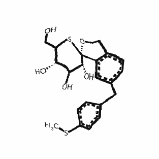 CSc1ccc(Cc2ccc3c(c2)[C@]2(OC3)SC(CO)[C@@H](O)C(O)[C@H]2O)cc1